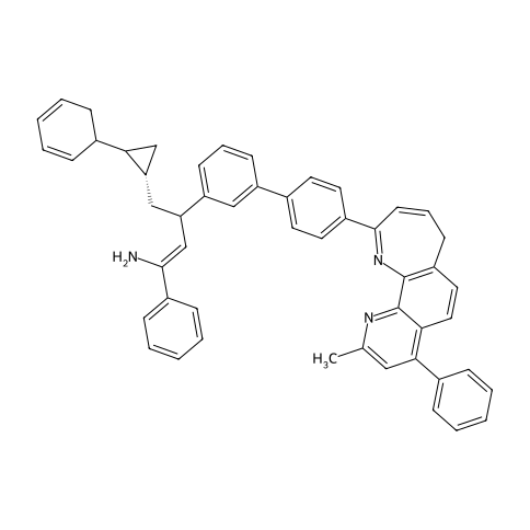 Cc1cc(-c2ccccc2)c2ccc3c(c2n1)N=C(c1ccc(-c2cccc(C(/C=C(\N)c4ccccc4)C[C@H]4CC4C4C=CC=CC4)c2)cc1)C=CC3